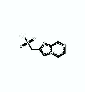 CS(=O)(=O)Cc1cn2ccncc2n1